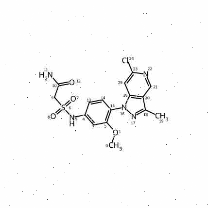 COc1cc(NS(=O)(=O)CC(N)=O)ccc1-n1nc(C)c2cnc(Cl)cc21